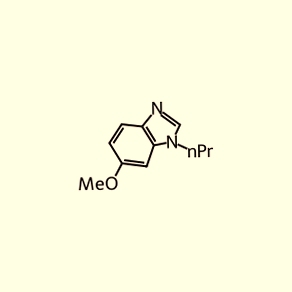 CCCn1cnc2ccc(OC)cc21